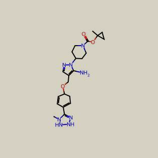 CN1NNN=C1C1=CCC(OCc2cnn(C3CCN(C(=O)OC4(C)CC4)CC3)c2N)C=C1